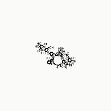 CCCCCC(=O)OCC1OC(N2C(=N)NCC2C(O)C2NC(=O)C(C(O)C3CNC(=N)N3)NC(=O)C(Cc3ccc(OC4OC(CO)C(OC5OC(CO)C(O)C(O)C5O)C(O)C4O)cc3)NC(=O)C(C(C)c3ccccc3)NC(=O)CNC(=O)C(CO)NC2=O)C(O)C(O)C1O